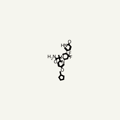 CC(C(N)=O)(c1ccc(OCC2CCCC2)cn1)N1CCC(F)(F)[C@@H](c2ccc(=O)[nH]c2)C1